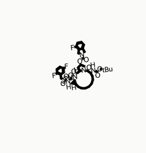 CC(C)(C)OC(=O)N[C@H]1CCCCCCC[C@@H]2C[C@@]2(C(=O)NS(=O)(=O)Cc2cc(F)ccc2F)NC(=O)[C@@H]2C[C@@H](OC(=O)N3Cc4cccc(F)c4C3)CN2C1=O